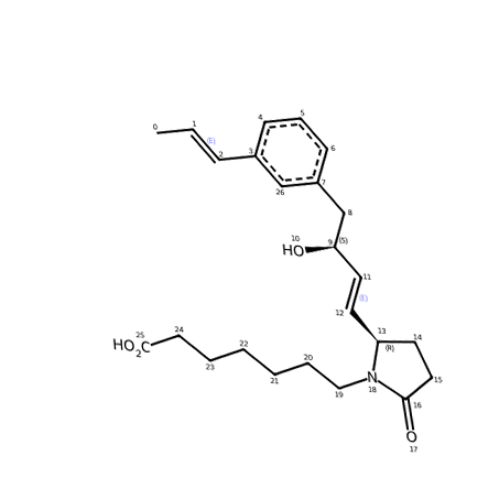 C/C=C/c1cccc(C[C@H](O)/C=C/[C@H]2CCC(=O)N2CCCCCCC(=O)O)c1